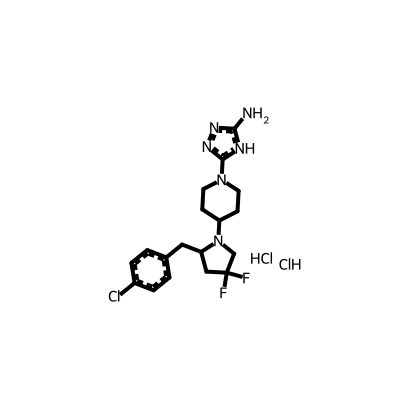 Cl.Cl.Nc1nnc(N2CCC(N3CC(F)(F)CC3Cc3ccc(Cl)cc3)CC2)[nH]1